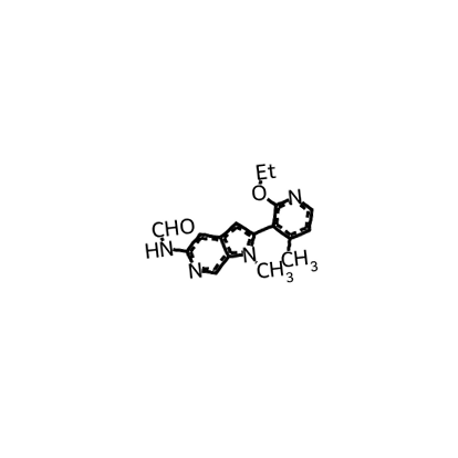 CCOc1nccc(C)c1-c1cc2cc(NC=O)ncc2n1C